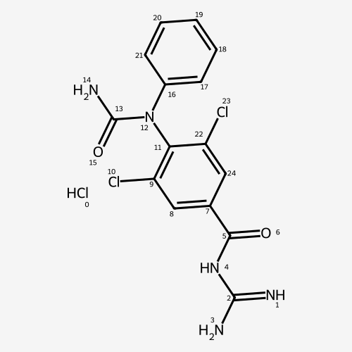 Cl.N=C(N)NC(=O)c1cc(Cl)c(N(C(N)=O)c2ccccc2)c(Cl)c1